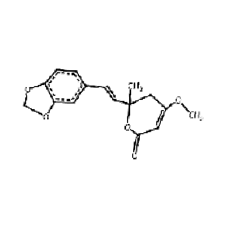 COC1=CC(=O)OC(C)(C=Cc2ccc3c(c2)OCO3)C1